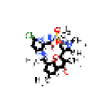 Cc1cc(C(C)Nc2ccc(Cl)nc2C(=O)NS(C)(=O)=O)c2oc(-c3cnn(C)c3C)c(C)c(=O)c2c1